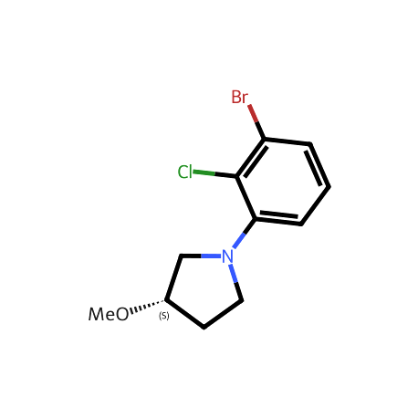 CO[C@H]1CCN(c2cccc(Br)c2Cl)C1